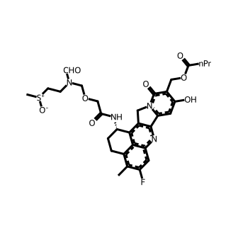 CCCC(=O)OCc1c(O)cc2n(c1=O)Cc1c-2nc2cc(F)c(C)c3c2c1[C@@H](NC(=O)COCN(C=O)CC[S+](C)[O-])CC3